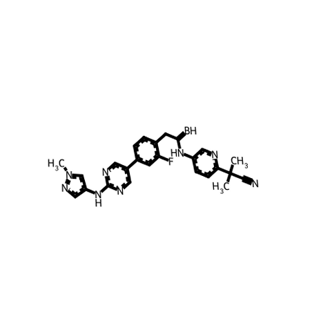 B=C(Cc1ccc(-c2cnc(Nc3cnn(C)c3)nc2)cc1F)Nc1ccc(C(C)(C)C#N)nc1